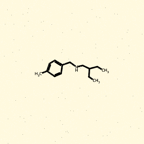 CCC(CC)CNCc1ccc(C)cc1